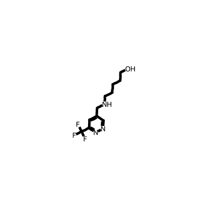 OCCCCCNCc1cnnc(C(F)(F)F)c1